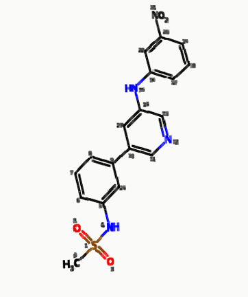 CS(=O)(=O)Nc1cccc(-c2cncc(Nc3cccc([N+](=O)[O-])c3)c2)c1